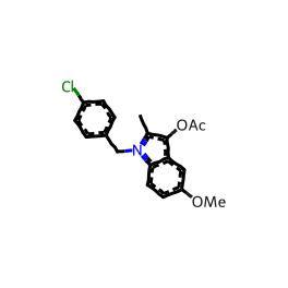 COc1ccc2c(c1)c(OC(C)=O)c(C)n2Cc1ccc(Cl)cc1